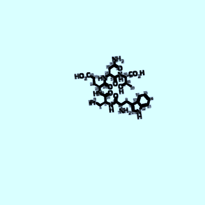 CC(C)C[C@H](NC(=O)[C@@H](N)Cc1c[nH]c2ccccc12)C(=O)N[C@@H](CCC(=O)O)C(=O)N[C@@H](CC(N)=O)C(=O)N[C@H](C(=O)O)[C@@H](C)O